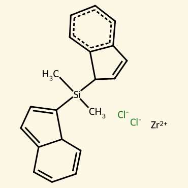 C[Si](C)(C1=CC=C2C=CC=CC21)C1C=Cc2ccccc21.[Cl-].[Cl-].[Zr+2]